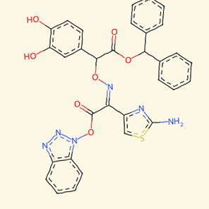 Nc1nc(/C(=N/OC(C(=O)OC(c2ccccc2)c2ccccc2)c2ccc(O)c(O)c2)C(=O)On2nnc3ccccc32)cs1